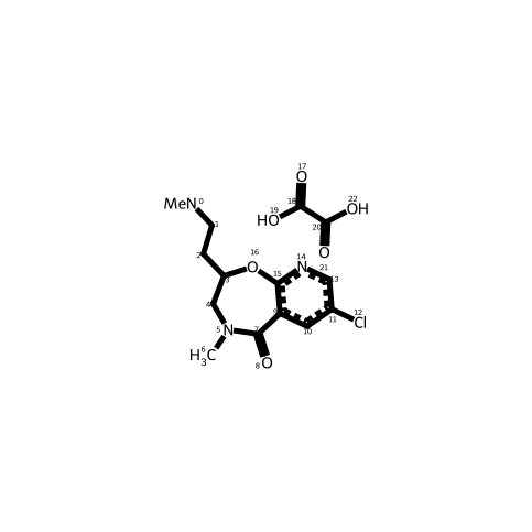 CNCCC1CN(C)C(=O)c2cc(Cl)cnc2O1.O=C(O)C(=O)O